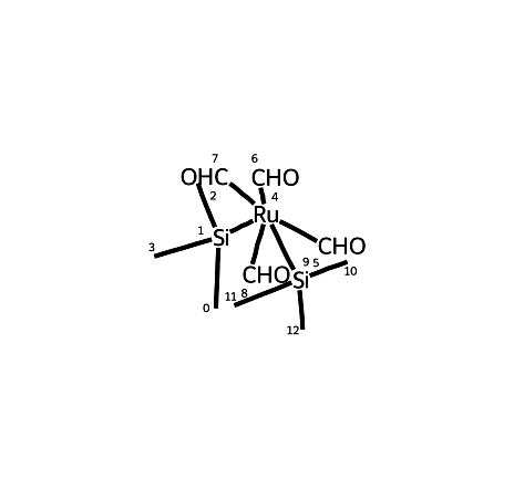 C[Si](C)(C)[Ru]([CH]=O)([CH]=O)([CH]=O)([CH]=O)[Si](C)(C)C